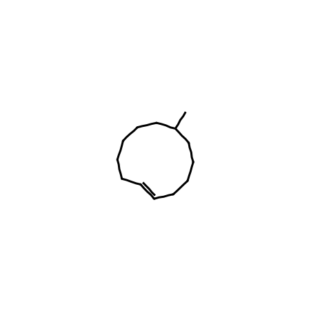 CC1CCCC/C=C/CCCCC1